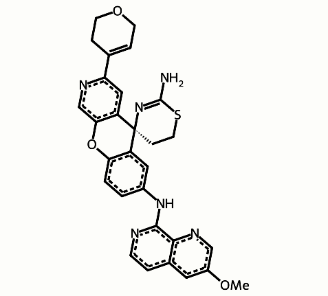 COc1cnc2c(Nc3ccc4c(c3)[C@@]3(CCSC(N)=N3)c3cc(C5=CCOCC5)ncc3O4)nccc2c1